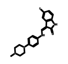 CN1CCN(c2ccc(NC=C3C(=O)Nc4ccc(F)cc43)cc2)CC1